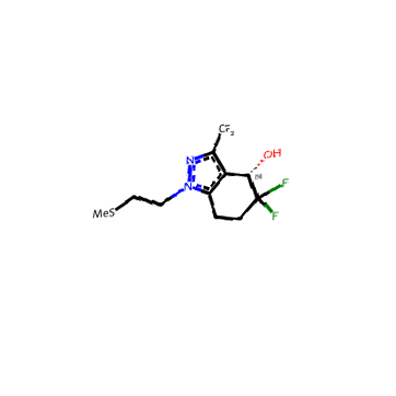 CSCCn1nc(C(F)(F)F)c2c1CCC(F)(F)[C@H]2O